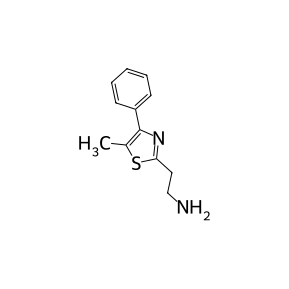 Cc1sc(CCN)nc1-c1ccccc1